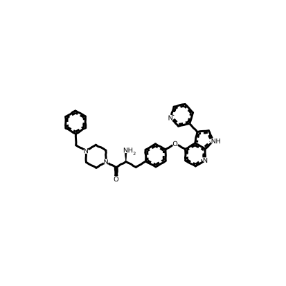 N[C@@H](Cc1ccc(Oc2ccnc3[nH]cc(-c4cccnc4)c23)cc1)C(=O)N1CCN(Cc2ccccc2)CC1